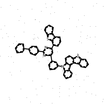 c1ccc(-c2ccc(-c3nc(-c4cccc(-n5c6ccccc6c6c7c(ccc65)sc5ccccc57)c4)cc(-c4cccc5c4sc4ccccc45)n3)cc2)cc1